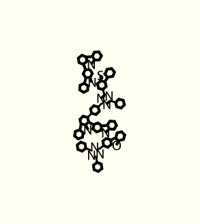 c1ccc(-c2nc(-c3ccccc3)nc(-c3cc(-n4c5ccccc5c5cc6c7c(-c8ccc(-c9nc(-c%10ccccc%10)nc(-c%10cc(-n%11c%12ccccc%12c%12cc%13c%14cccc%15c%16ccccc%16n(c%13cc%12%11)c%15%14)c%11sc%12ccccc%12c%11c%10)n9)cc8)ccc8c9ccccc9n(c6cc54)c87)c4c(c3)oc3ccccc34)n2)cc1